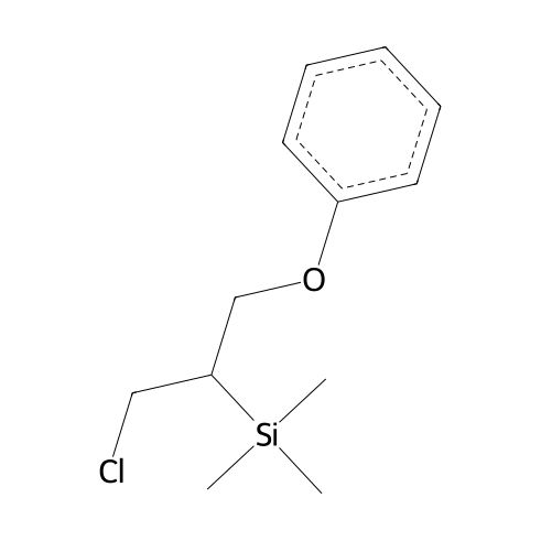 C[Si](C)(C)C(CCl)COc1ccccc1